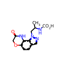 CC(Cn1ncc2ccc3c(c21)NC(=O)CO3)NC(=O)O